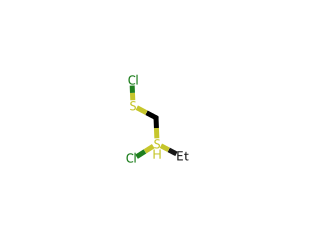 CC[SH](Cl)CSCl